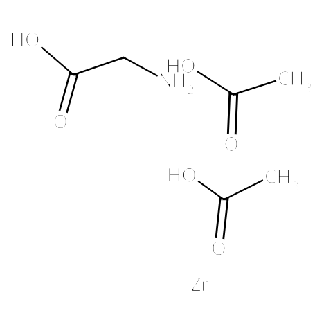 CC(=O)O.CC(=O)O.NCC(=O)O.[Zr]